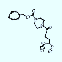 CCOC(CCC(=O)N1CCN(C(=O)OCc2ccccc2)CC1)OCC